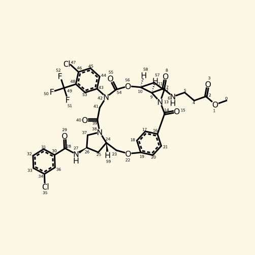 COC(=O)CCNC(=O)[C@@H]1[C@@H]2CCN1C(=O)c1ccc(cc1)OC[C@@H]1C[C@@H](NC(=O)c3cccc(Cl)c3)CN1C(=O)CN(c1ccc(Cl)c(C(F)(F)F)c1)C(=O)O2